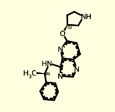 C[C@@H](Nc1ncnc2ccc(O[C@H]3CCNC3)nc12)c1ccccc1